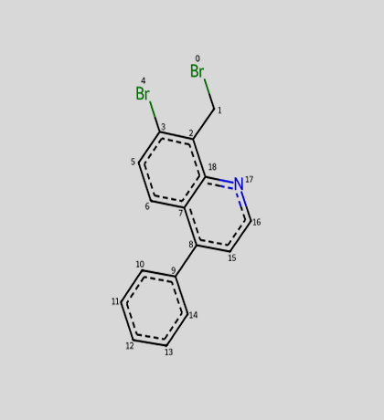 BrCc1c(Br)ccc2c(-c3ccccc3)ccnc12